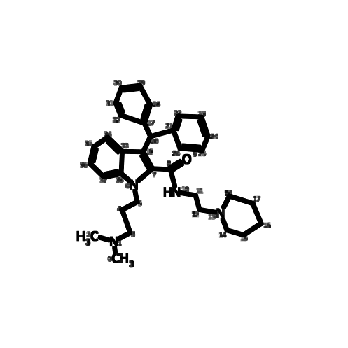 CN(C)CCCn1c(C(=O)NCCN2CCCCC2)c(C(c2ccccc2)c2ccccc2)c2ccccc21